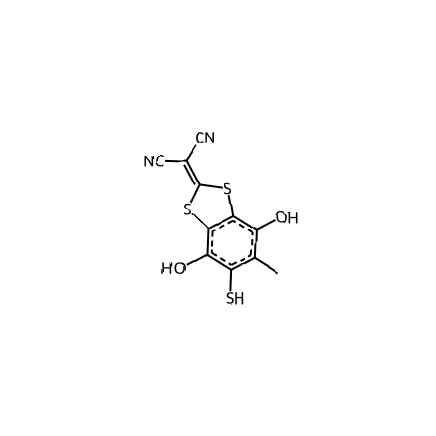 Cc1c(O)c2c(c(O)c1S)SC(=C(C#N)C#N)S2